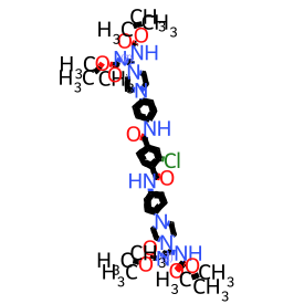 CC(C)(C)OC(=O)/N=C(/NC(=O)OC(C)(C)C)N1CCN(c2ccc(NC(=O)c3ccc(C(=O)Nc4ccc(N5CCN(/C(=N\C(=O)OC(C)(C)C)NC(=O)OC(C)(C)C)CC5)cc4)c(Cl)c3)cc2)CC1